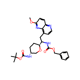 COc1ccc2nccc(CC(NC(=O)OCc3ccccc3)[C@@H]3CC[C@@H](NC(=O)OC(C)(C)C)CO3)c2n1